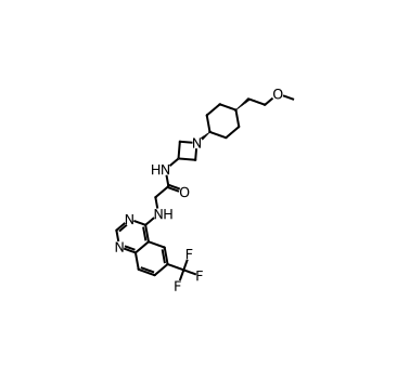 COCC[C@H]1CC[C@@H](N2CC(NC(=O)CNc3ncnc4ccc(C(F)(F)F)cc34)C2)CC1